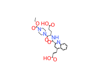 CCOC(=O)N1CCN(C(=O)C(CCC(=O)O)NC(=O)c2cc(C=CC(=O)O)c3ccccc3n2)CC1